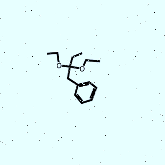 CCOC(CC)(Cc1ccccc1)OCC